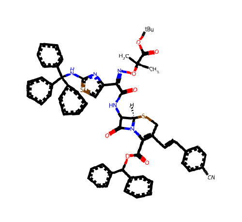 CC(C)(C)OC(=O)C(C)(C)O/N=C(\C(=O)NC1C(=O)N2C(C(=O)OC(c3ccccc3)c3ccccc3)=C(/C=C/c3ccc(C#N)cc3)CS[C@H]12)c1csc(NC(c2ccccc2)(c2ccccc2)c2ccccc2)n1